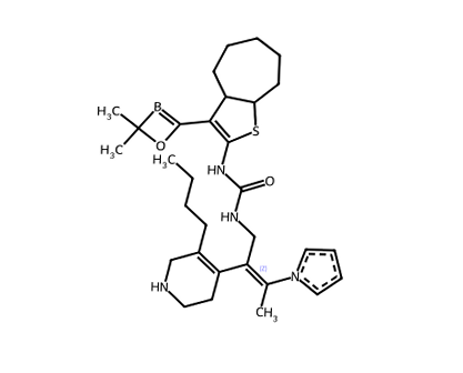 CCCCC1=C(/C(CNC(=O)NC2=C(C3=BC(C)(C)O3)C3CCCCCC3S2)=C(\C)n2cccc2)CCNC1